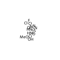 COc1cc(NC(=O)c2sc3ncnc4c3c2NC(=O)N4c2ccc(F)c(Cl)c2)ccc1O